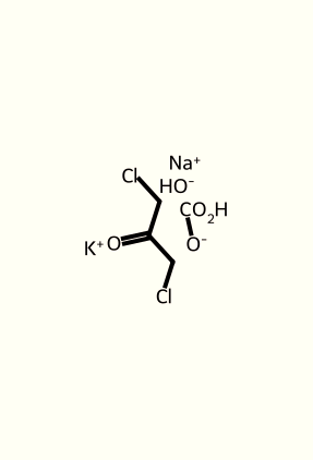 O=C(CCl)CCl.O=C([O-])O.[K+].[Na+].[OH-]